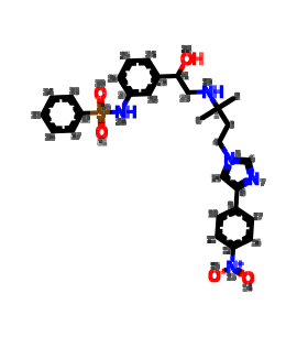 CC(C)(CCn1cnc(-c2ccc([N+](=O)[O-])cc2)c1)NCC(O)c1cccc(NS(=O)(=O)c2ccccc2)c1